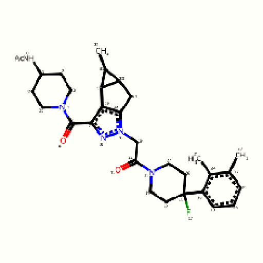 CC(=O)NC1CCN(C(=O)c2nn(CC(=O)N3CCC(F)(c4cccc(C)c4C)CC3)c3c2C2C(C)C2C3)CC1